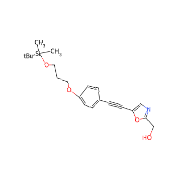 CC(C)(C)[Si](C)(C)OCCCOc1ccc(C#Cc2cnc(CO)o2)cc1